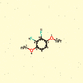 CCCOc1ccc(OCCC)c(F)c1F